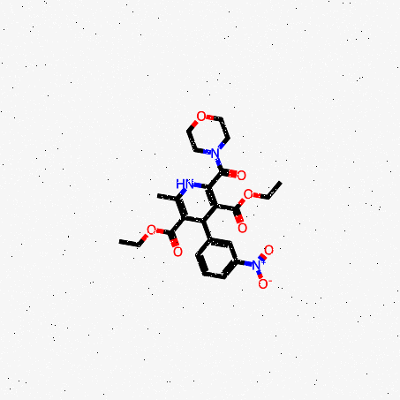 CCOC(=O)C1=C(C)NC(C(=O)N2CCOCC2)=C(C(=O)OCC)C1c1cccc([N+](=O)[O-])c1